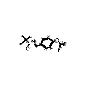 CC(C)(C)[S+]([O-])/N=C/c1ccc(OC(F)F)cc1